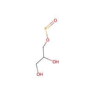 O=POCC(O)CO